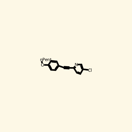 CCCCCOc1ccc(C#Cc2ccc(Cl)cn2)cc1